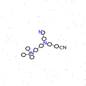 N#Cc1ccc(-c2ccc(N(c3ccc(-c4ccc(-n5c(-c6ccccc6)c(-c6ccccc6)c6ccccc65)cc4)cc3)c3ccc(-c4cccnc4)cc3)cc2)cc1